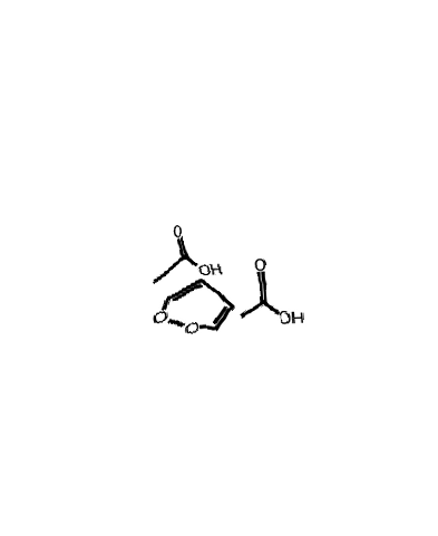 C1=COOC=C1.CC(=O)O.CC(=O)O